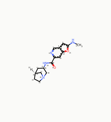 CNc1cc2cnc(C(=O)N[C@@H]3C[C@@H]4CCN(C4)C3)cc2o1